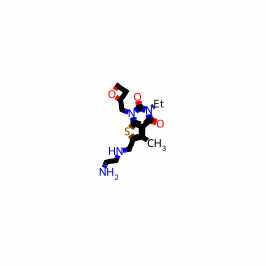 CCn1c(=O)c2c(C)c(CNCCN)sc2n(CC2CCO2)c1=O